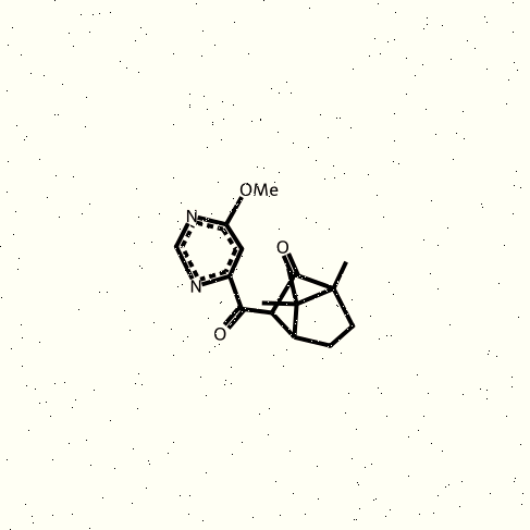 COc1cc(C(=O)C2C(=O)C3(C)CCC2C3(C)C)ncn1